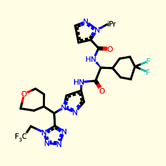 CC(C)n1nccc1C(=O)N[C@H](C(=O)Nc1cnn(C(c2nnnn2CC(F)(F)F)C2CCOCC2)c1)C1CCC(F)(F)CC1